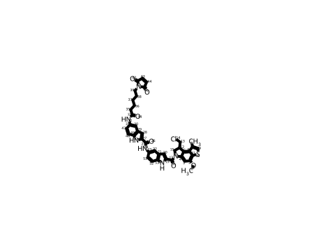 COc1cc2c(c3c(C)csc13)C(CCl)CN2C(=O)c1cc2cc(NC(=O)c3cc4cc(NC(=O)CCCCCN5C(=O)C=CC5=O)ccc4[nH]3)ccc2[nH]1